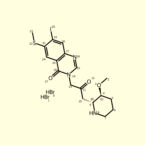 Br.Br.CO[C@H]1CCCN[C@@H]1CC(=O)Cn1cnc2cc(I)c(SC)cc2c1=O